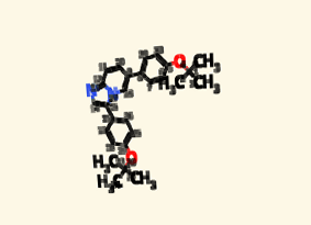 CC(C)(C)Oc1ccc(-c2ccc3ncc(-c4ccc(OC(C)(C)C)cc4)n3c2)cc1